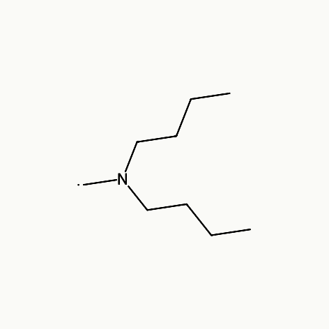 [CH2]N(CCCC)CCCC